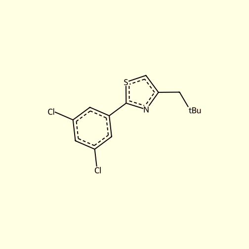 CC(C)(C)Cc1csc(-c2cc(Cl)cc(Cl)c2)n1